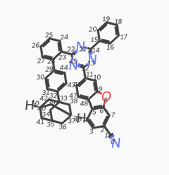 N#Cc1ccc2c(c1)oc1cc(-c3nc(-c4ccccc4)nc(-c4ccccc4-c4ccc(C56CC7C[C@H](C5)C[C@H](C7)C6)cc4)n3)ccc12